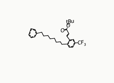 CC(C)(C)OC(=O)/C=C/c1cc(C(F)(F)F)ccc1CCCCCCCCc1ccccc1